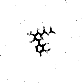 COc1c(C)ccc(-c2nc(C(=O)OC(C)C)c(I)c(N)c2F)c1F